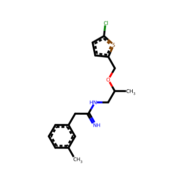 Cc1cccc(CC(=N)NCC(C)OCc2ccc(Cl)s2)c1